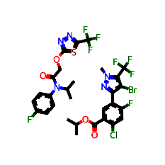 CC(C)N(C(=O)COc1nnc(C(F)(F)F)s1)c1ccc(F)cc1.CC(C)OC(=O)c1cc(-c2nn(C)c(C(F)(F)F)c2Br)c(F)cc1Cl